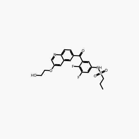 CCCS(=O)(=O)Nc1cc(F)c(F)c(C(=O)c2ccc3ncc(OCCO)cc3c2)c1